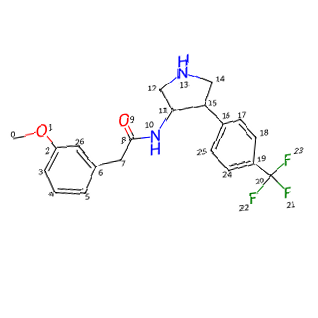 COc1cccc(CC(=O)NC2CNCC2c2ccc(C(F)(F)F)cc2)c1